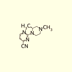 C[C@H]1CN(C)CCN1c1nccc(C#N)n1